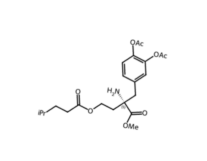 COC(=O)[C@@](N)(CCOC(=O)CCC(C)C)Cc1ccc(OC(C)=O)c(OC(C)=O)c1